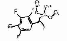 CCO[Si](O)(OCC)C(F)c1cc(F)c(F)c(F)c1F